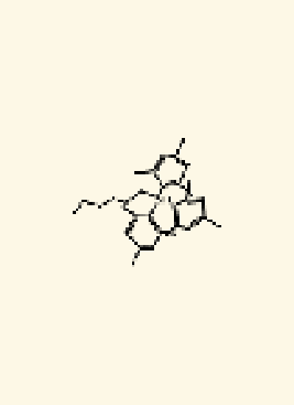 CCCCC[CH2][Sn]([c]1c(C)cc(C)cc1C)([c]1c(C)cc(C)cc1C)[c]1c(C)cc(C)cc1C